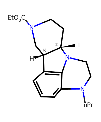 CCCN1CCN2c3c(cccc31)[C@@H]1CN(C(=O)OCC)CC[C@@H]12